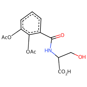 CC(=O)Oc1cccc(C(=O)NC(CO)C(=O)O)c1OC(C)=O